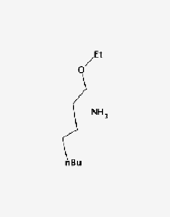 CCCCCCCCOCC.N